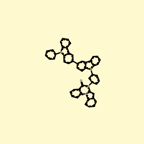 O=c1c2ccccc2n2c3ccccc3cc2n1-c1cccc(-n2c3ccccc3c3cc(-c4ccc5c(c4)c4ccccc4n5-c4ccccc4)ccc32)c1